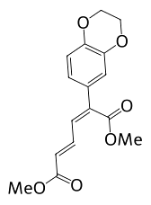 COC(=O)C=CC=C(C(=O)OC)c1ccc2c(c1)OCCO2